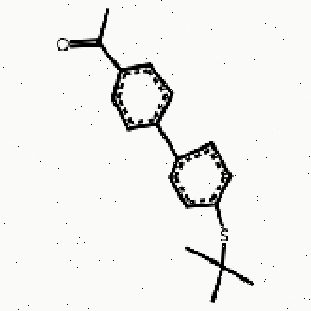 CC(=O)c1ccc(-c2ccc(SC(C)(C)C)cc2)cc1